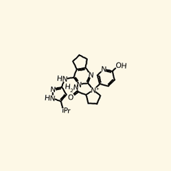 CC(C)c1cc(Nc2nc([N+]3(c4ccc(O)nc4)CCCC3C(N)=O)nc3c2CCC3)n[nH]1